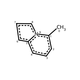 Cc1cccc2cccn12